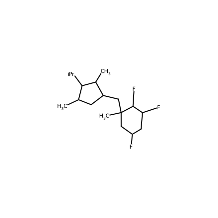 CC(C)C1C(C)CC(CC2(C)CC(F)CC(F)C2F)C1C